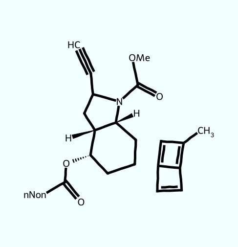 C#CC1C[C@H]2[C@@H](OC(=O)CCCCCCCCC)CCC[C@H]2N1C(=O)OC.Cc1cc2ccc1-2